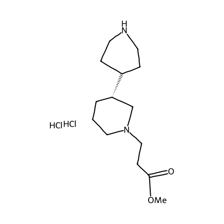 COC(=O)CCN1CCC[C@H](C2CCNCC2)C1.Cl.Cl